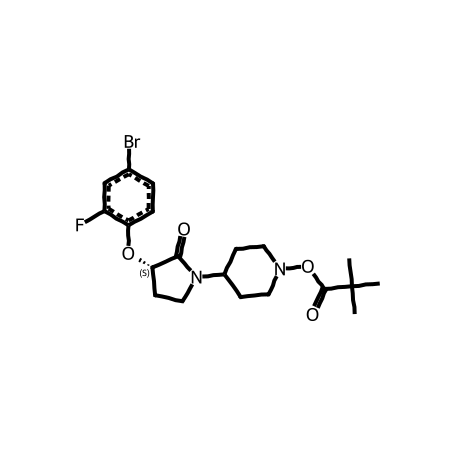 CC(C)(C)C(=O)ON1CCC(N2CC[C@H](Oc3ccc(Br)cc3F)C2=O)CC1